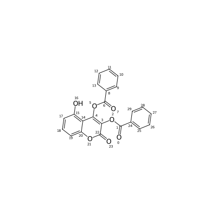 O=C(Oc1c(OC(=O)c2ccccc2)c2c(O)cccc2oc1=O)c1ccccc1